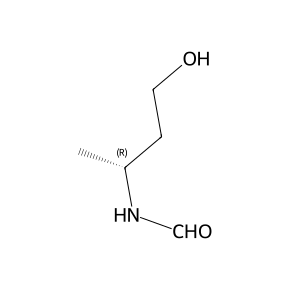 C[C@H](CCO)NC=O